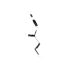 C/C=C/C(=O)N=C=O